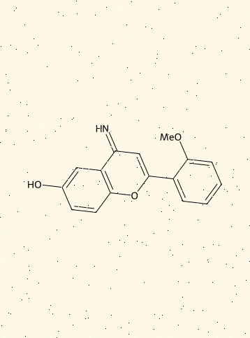 COc1ccccc1-c1cc(=N)c2cc(O)ccc2o1